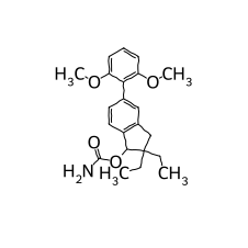 CCC1(CC)Cc2cc(-c3c(OC)cccc3OC)ccc2C1OC(N)=O